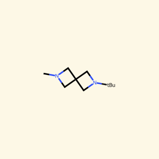 CN1CC2(C1)CN(C(C)(C)C)C2